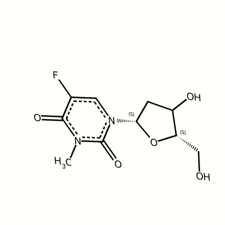 Cn1c(=O)c(F)cn([C@@H]2CC(O)[C@H](CO)O2)c1=O